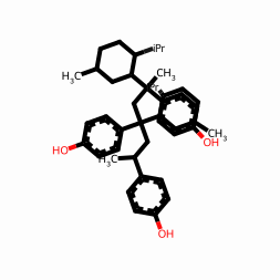 CC1CCC(C(C)C)C(C(C)(CC(CC(C)c2ccc(O)cc2)(c2ccc(O)cc2)C2CC(C)CCC2C(C)C)c2ccc(O)cc2)C1